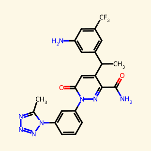 Cc1nnnn1-c1cccc(-n2nc(C(N)=O)c(C(C)c3cc(N)cc(C(F)(F)F)c3)cc2=O)c1